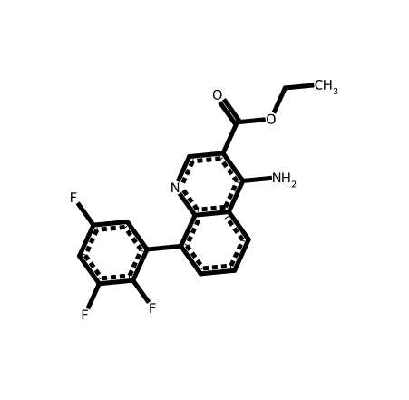 CCOC(=O)c1cnc2c(-c3cc(F)cc(F)c3F)cccc2c1N